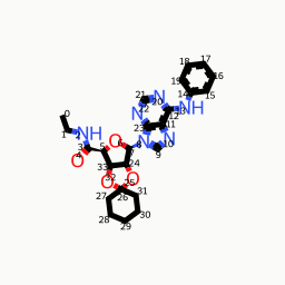 CCNC(=O)[C@H]1O[C@@H](n2cnc3c(Nc4ccccc4)ncnc32)C2OC3(CCCCC3)OC21